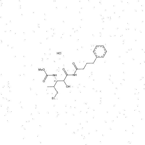 CCSC(C)[C@H](NC(=O)OC)C(O)C(=O)NC(=O)CCCc1ccccc1.Cl